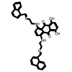 O=C1c2c(O)ccc(O)c2C(=O)c2c(NCCN=Cc3cccc4ccccc34)ccc(NCCN=Cc3cccc4ccccc34)c21